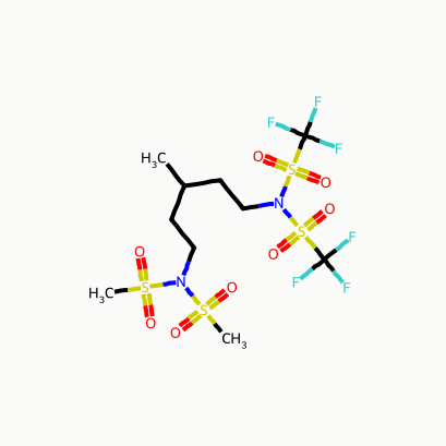 CC(CCN(S(C)(=O)=O)S(C)(=O)=O)CCN(S(=O)(=O)C(F)(F)F)S(=O)(=O)C(F)(F)F